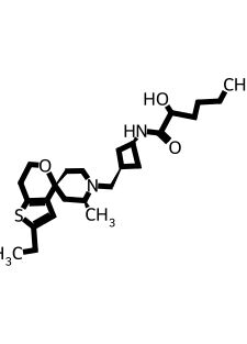 CCCCC(O)C(=O)N[C@H]1C[C@@H](CN2CC[C@]3(C[C@@H]2C)OCCc2sc(CC)cc23)C1